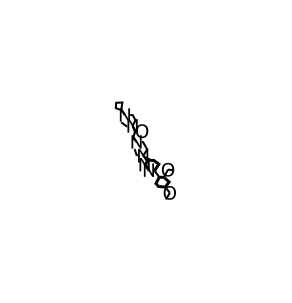 COc1ccc(-c2ccc(N3CCN(CC(=O)N4CCN(C5CCC5)CC4)CC3)nn2)c(OC)c1